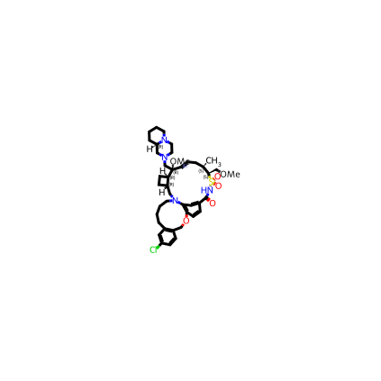 COC[C@@H]1[C@@H](C)C/C=C/[C@](CN2CCN3CCCC[C@@H]3C2)(OC)[C@@H]2CC[C@H]2CN2CCCCc3cc(Cl)ccc3COc3ccc(cc32)C(=O)NS1(=O)=O